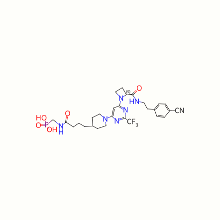 N#Cc1ccc(CCNC(=O)[C@@H]2CCN2c2cc(N3CCC(CCCC(=O)NCP(=O)(O)O)CC3)nc(C(F)(F)F)n2)cc1